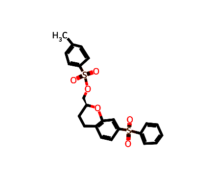 Cc1ccc(S(=O)(=O)OC[C@@H]2CCc3ccc(S(=O)(=O)c4ccccc4)cc3O2)cc1